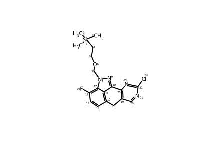 C[Si](C)(C)CCOCn1nc2c3c(ccc(F)c31)Cc1cnc(Cl)nc1-2